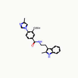 COc1cc(C(=O)NCCc2c(C)[nH]c3ccccc23)ccc1-n1cnc(C)c1